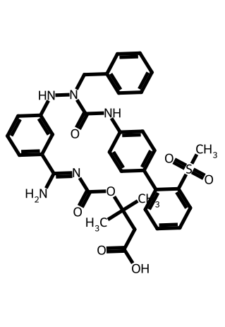 CC(C)(CC(=O)O)OC(=O)N=C(N)c1cccc(NN(Cc2ccccc2)C(=O)Nc2ccc(-c3ccccc3S(C)(=O)=O)cc2)c1